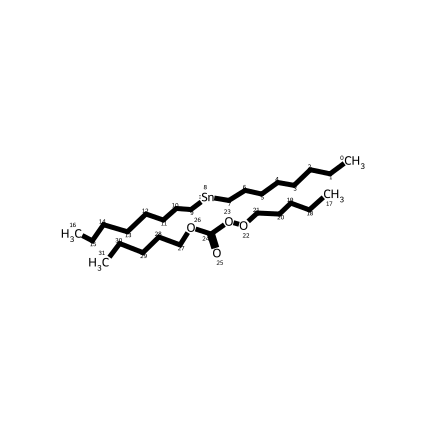 CCCCCCC[CH2][Sn][CH2]CCCCCCC.CCCCCOOC(=O)OCCCCC